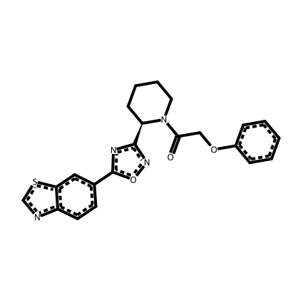 O=C(COc1ccccc1)N1CCCC[C@@H]1c1noc(-c2ccc3ncsc3c2)n1